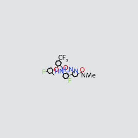 CNC(=O)c1ccc(-c2cc(NC(=O)c3cc(C(F)(F)F)ccc3Oc3ccc(F)cc3C)ccc2F)c(N)n1